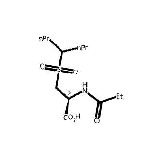 CCCC(CCC)S(=O)(=O)C[C@@H](NC(=O)CC)C(=O)O